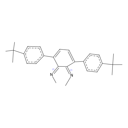 C/N=C1/C(c2ccc(C(C)(C)C)cc2)=CC=C(c2ccc(C(C)(C)C)cc2)/C1=N/C